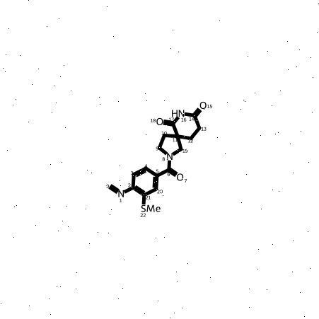 C=Nc1ccc(C(=O)N2CCC3(CCC(=O)NC3=O)C2)cc1SC